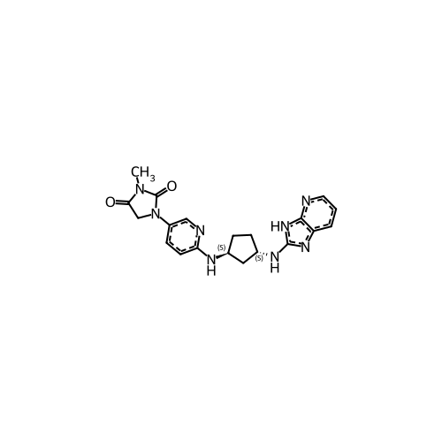 CN1C(=O)CN(c2ccc(N[C@H]3CC[C@H](Nc4nc5cccnc5[nH]4)C3)nc2)C1=O